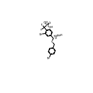 O=P(O)(O)C(F)(F)c1ccc(CSCc2ccc(Br)cc2)cc1Br.[NaH].[NaH]